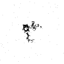 C1=CC2C=CC1C2.C=C[CH2][Pd+].O=S(=O)([O-])C(F)(F)F